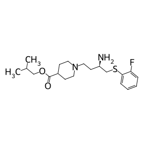 CC(C)COC(=O)C1CCN(CC[C@@H](N)CSc2ccccc2F)CC1